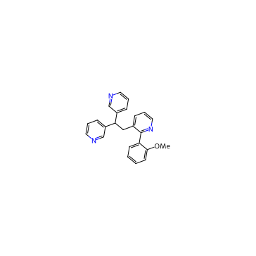 COc1ccccc1-c1ncccc1CC(c1cccnc1)c1cccnc1